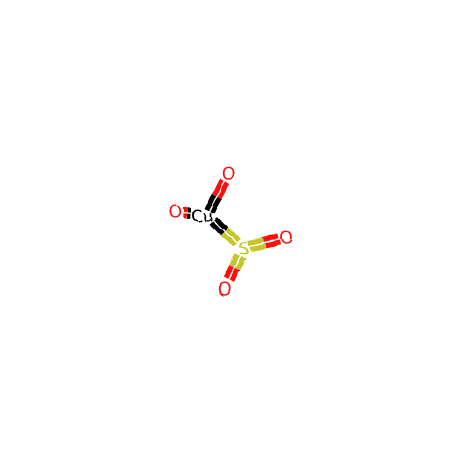 O=[S](=O)=[Cu](=[O])=[O]